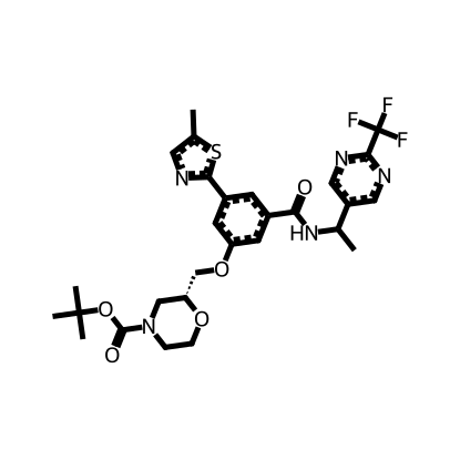 Cc1cnc(-c2cc(OC[C@H]3CN(C(=O)OC(C)(C)C)CCO3)cc(C(=O)NC(C)c3cnc(C(F)(F)F)nc3)c2)s1